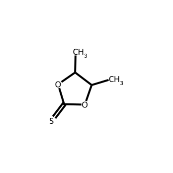 CC1OC(=S)OC1C